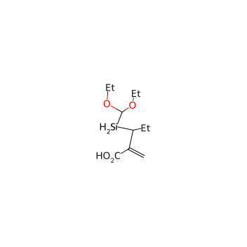 C=C(C(=O)O)C(CC)[SiH2]C(OCC)OCC